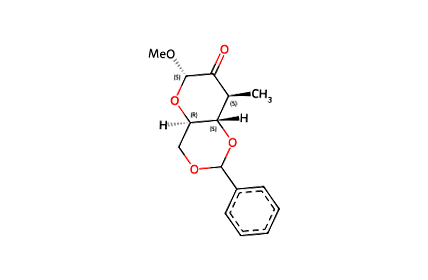 CO[C@H]1O[C@@H]2COC(c3ccccc3)O[C@H]2[C@H](C)C1=O